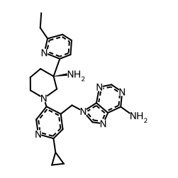 CCc1cccc([C@@]2(N)CCCN(c3cnc(C4CC4)cc3Cn3cnc4c(N)ncnc43)C2)n1